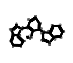 Cc1c(-n2nnc3ccccc32)cccc1-n1nnc2ccccc21